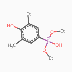 CCO[PH](O)(OCC)c1cc(C)c(O)c(CC)c1